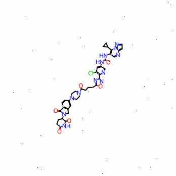 O=C1CCC(N2Cc3cc(N4CCN(C(=O)CCCc5nc(-c6ncc(NC(=O)Nc7cnc8ccnn8c7C7CC7)cc6Cl)no5)CC4)ccc3C2=O)C(=O)N1